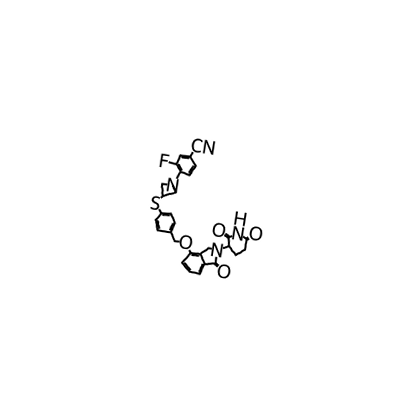 N#Cc1ccc(N2CC(Sc3ccc(COc4cccc5c4CN(C4CCC(=O)NC4=O)C5=O)cc3)C2)c(F)c1